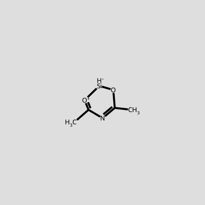 CC1=NC(C)=[O+][SiH-]O1